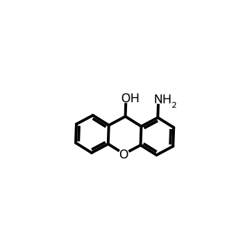 Nc1cccc2c1C(O)c1ccccc1O2